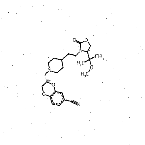 COC(C)(C)C1COC(=O)N1CCC1CCN(C[C@H]2COc3ccc(C#N)cc3O2)CC1